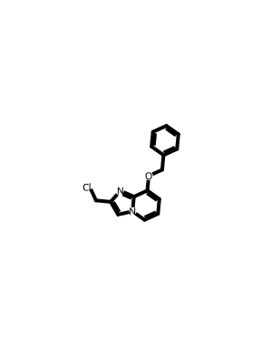 ClCc1cn2cccc(OCc3ccccc3)c2n1